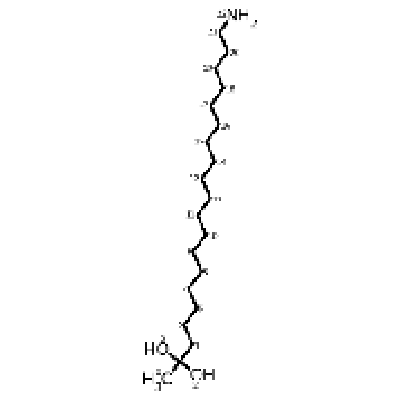 CC(O)(O)CCCCCCCCCCCCCCCCCCN